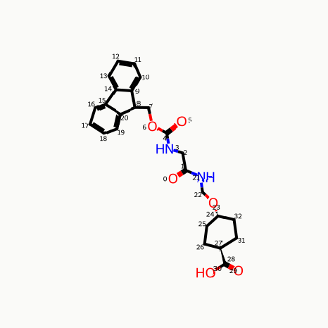 O=C(CNC(=O)OCC1c2ccccc2-c2ccccc21)NCO[C@H]1CC[C@H](C(=O)O)CC1